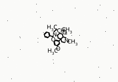 COc1cccc(C23CCN(C)CC2C(OC)C[C@@H](N(CC(C)C)C(=O)c2ccccc2)C3)c1